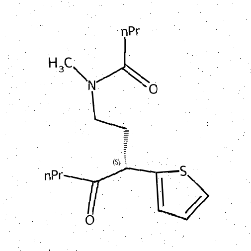 CCCC(=O)[C@H](CCN(C)C(=O)CCC)c1cccs1